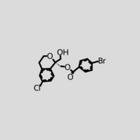 O=C(OC[C@@]1(CO)OCCc2cc(Cl)ccc21)c1ccc(Br)cc1